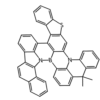 CC1(C)c2ccccc2N2c3cc4sc5ccccc5c4c4c3B(c3cccc1c32)n1c2c-4cccc2c2ccc3ccccc3c21